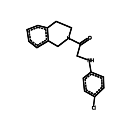 O=C(CNc1ccc(Cl)cc1)N1CCc2ccccc2C1